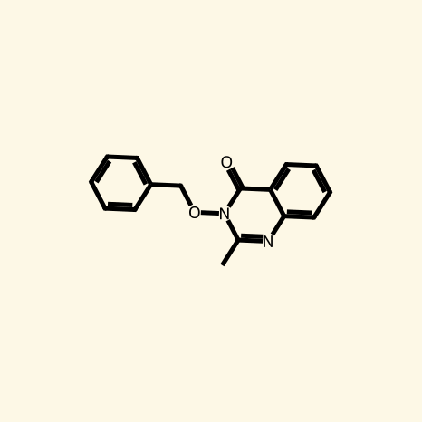 Cc1nc2ccccc2c(=O)n1OCc1ccccc1